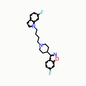 Fc1ccc2c(C3CCN(CCCCn4ccc5ccc(F)cc54)CC3)noc2c1